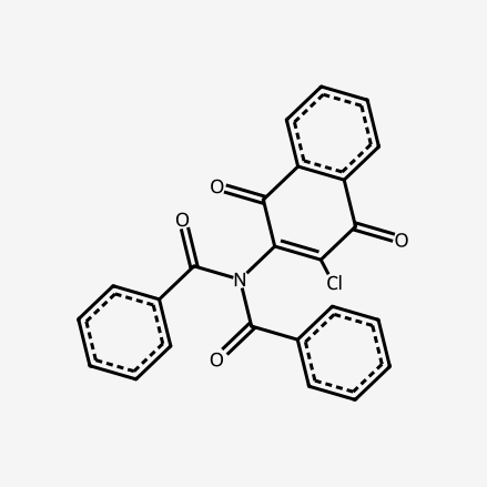 O=C1C(Cl)=C(N(C(=O)c2ccccc2)C(=O)c2ccccc2)C(=O)c2ccccc21